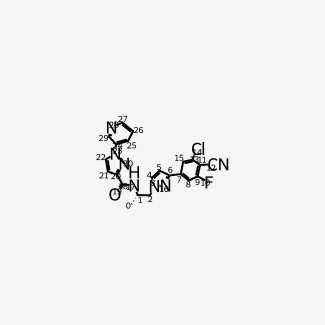 C[C@@H](Cn1ccc(-c2cc(F)c(C#N)c(Cl)c2)n1)NC(=O)c1ccn(-c2cccnc2)n1